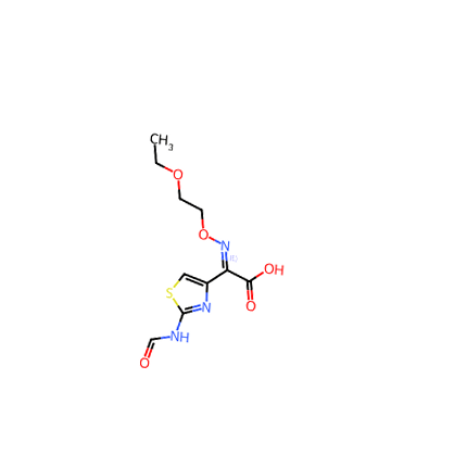 CCOCCO/N=C(/C(=O)O)c1csc(NC=O)n1